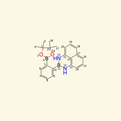 CC1(C)OB(c2ccccc2B2Nc3cccc4cccc(c34)N2)OC1(C)C